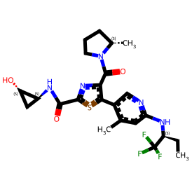 CC[C@H](Nc1cc(C)c(-c2sc(C(=O)N[C@H]3C[C@@H]3O)nc2C(=O)N2CCC[C@@H]2C)cn1)C(F)(F)F